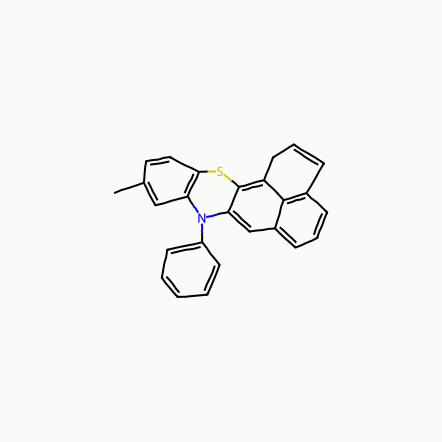 Cc1ccc2c(c1)N(c1ccccc1)c1cc3cccc4c3c(c1S2)CC=C4